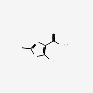 COC(=O)c1nc(C)sc1Cl